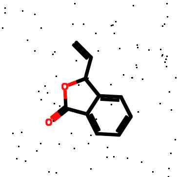 C=CC1OC(=O)c2ccccc21